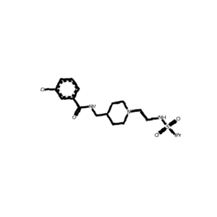 CC(C)S(=O)(=O)NCCN1CCC(CNC(=O)c2cccc(Cl)c2)CC1